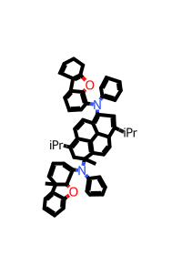 CC(C)C1=CC(N(c2ccccc2)c2cccc3c4c(oc23)CCC=C4)=C2C=CC3=C(C(C)C)CC(C)(N(C4=CC=CC5(C)c6ccccc6OC45)c4ccccc4)C4=C3C2C1C=C4